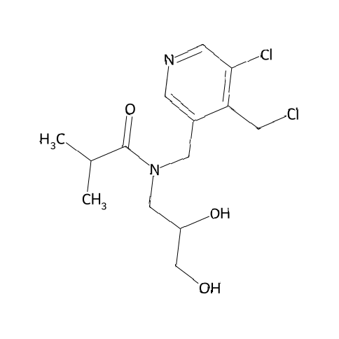 CC(C)C(=O)N(Cc1cncc(Cl)c1CCl)CC(O)CO